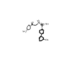 CN1CCN(C(=O)CN[C@@H]2C[C@H]2c2ccc(-c3cccc(C#N)c3)cc2)CC1.Cl.Cl